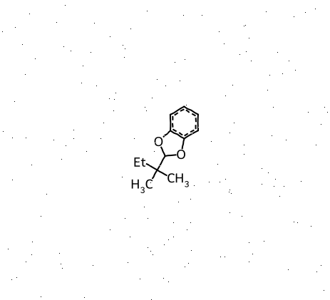 CCC(C)(C)C1Oc2ccccc2O1